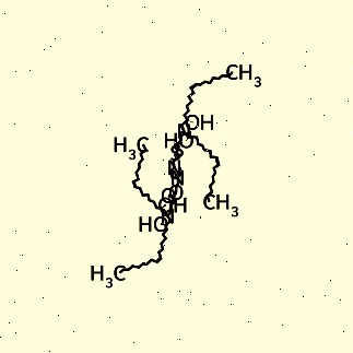 CCCCCCCC/C=C\CCCCCC[C@@H](O)CN(CCCC(=O)OCCN1CCN(CCSSCCCN(C[C@@H](O)CCCCCC/C=C\CCCCCCCC)C[C@@H](O)CCCCCC/C=C\CCCCCCCC)CC1)C[C@H](O)CCCCCC/C=C\CCCCCCCC